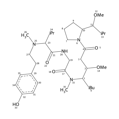 CCC(C)C(C(CC(=O)N1CCCC1C(OC)C(C)C)OC)N(C)C(=O)CNC(=O)C(C(C)C)N(C)CCc1ccc(O)cc1